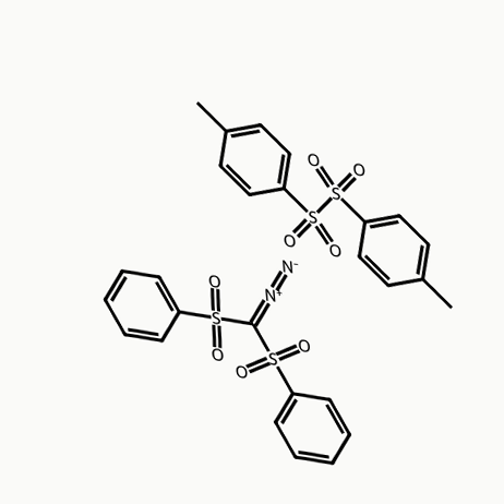 Cc1ccc(S(=O)(=O)S(=O)(=O)c2ccc(C)cc2)cc1.[N-]=[N+]=C(S(=O)(=O)c1ccccc1)S(=O)(=O)c1ccccc1